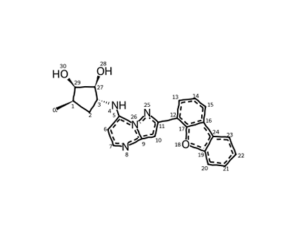 [CH2][C@@H]1C[C@@H](Nc2ccnc3cc(-c4cccc5c4oc4ccccc45)nn23)[C@H](O)[C@@H]1O